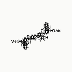 COCCNc1ccc(C(=O)Nc2ccc(/C=C/c3ccc(NC(=O)c4ccc(NCCOC)c(S(=O)(=O)N5CCOCC5)c4)cc3S(=O)(=O)O)c(S(=O)(=O)O)c2)cc1S(=O)(=O)N1CCOCC1